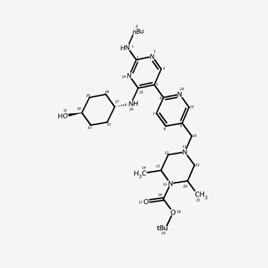 CCCCNc1ncc(-c2ccc(CN3CC(C)N(C(=O)OC(C)(C)C)C(C)C3)cn2)c(N[C@H]2CC[C@H](O)CC2)n1